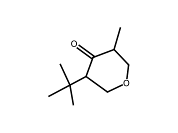 CC1COCC(C(C)(C)C)C1=O